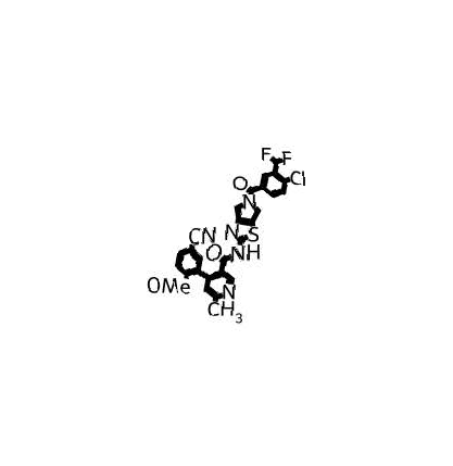 COc1ccc(C#N)cc1-c1cc(C)ncc1C(=O)Nc1nc2c(s1)CN(C(=O)c1ccc(Cl)c(C(F)F)c1)C2